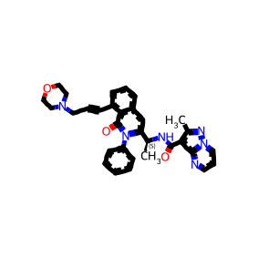 Cc1nn2cccnc2c1C(=O)N[C@@H](C)c1cc2cccc(C#CCN3CCOCC3)c2c(=O)n1-c1ccccc1